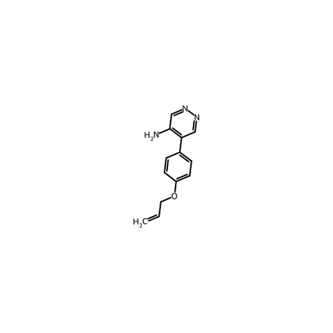 C=CCOc1ccc(-c2cnncc2N)cc1